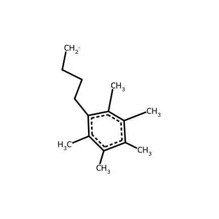 [CH2]CCCc1c(C)c(C)c(C)c(C)c1C